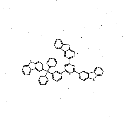 c1ccc([Si](c2ccccc2)(c2cccc(-c3nc(-c4ccc5sc6ccccc6c5c4)nc(-c4ccc5sc6ccccc6c5c4)n3)c2)c2ccc3sc4ccccc4c3c2)cc1